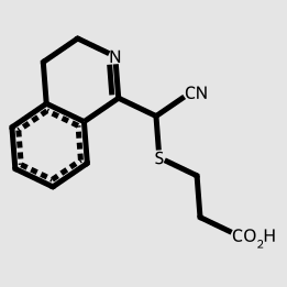 N#CC(SCCC(=O)O)C1=NCCc2ccccc21